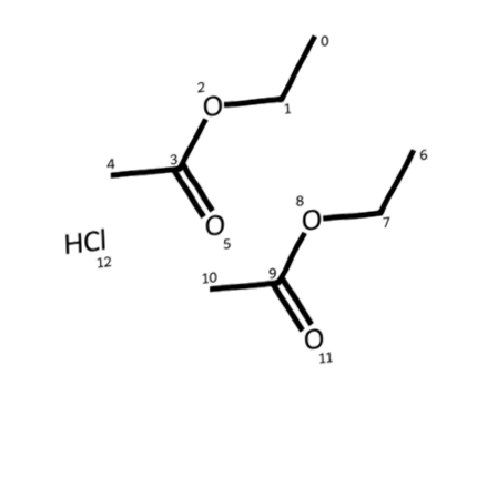 CCOC(C)=O.CCOC(C)=O.Cl